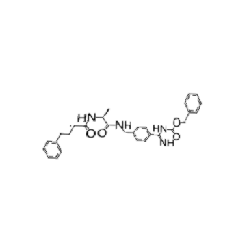 C[C@H](NC(=O)[CH]CCc1ccccc1)C(=O)NCc1ccc(C(=N)NC(=O)OCc2ccccc2)cc1